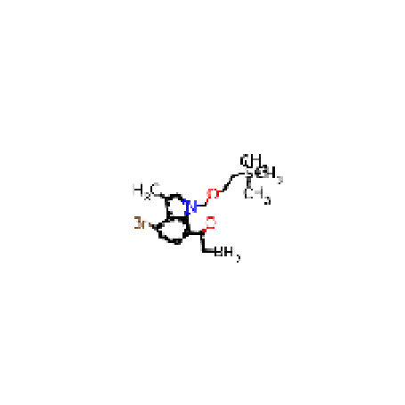 BCC(=O)c1ccc(Br)c2c(C)cn(COCC[Si](C)(C)C)c12